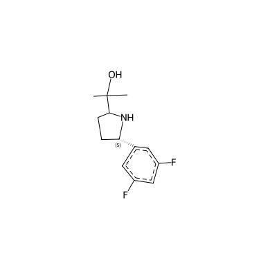 CC(C)(O)C1CC[C@@H](c2cc(F)cc(F)c2)N1